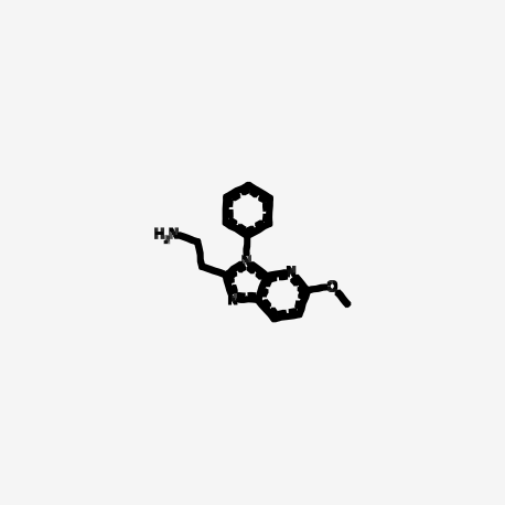 COc1ccc2nc(CCN)n(-c3ccccc3)c2n1